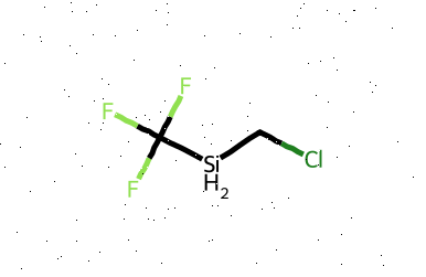 FC(F)(F)[SiH2]CCl